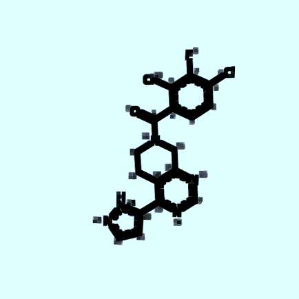 O=C(c1ccc(Cl)c(F)c1Cl)N1CCc2c(ncnc2-c2ccn[nH]2)C1